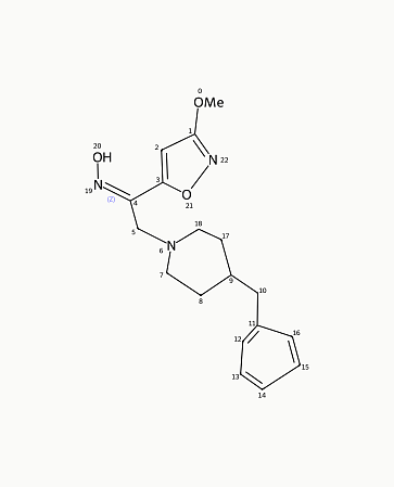 COc1cc(/C(CN2CCC(Cc3ccccc3)CC2)=N\O)on1